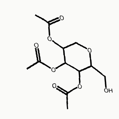 CC(=O)OC1COC(CO)C(OC(C)=O)C1OC(C)=O